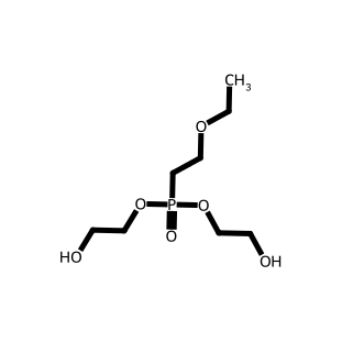 CCOCCP(=O)(OCCO)OCCO